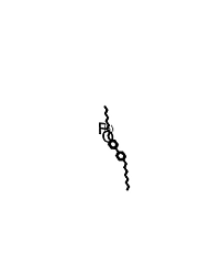 CCCCCCCCc1ccc(-c2ccc(OC[C@@H](F)CCCCCC)cc2)cc1